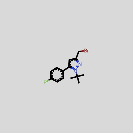 CC(C)(C)n1nc(CBr)cc1-c1ccc(F)cc1